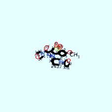 COc1ccc2c(c1)S(=O)(=O)Cc1c(C(=O)N3CCOCC3)nn([C@H]3CCCN(C4CCCOC4)C3)c1-2